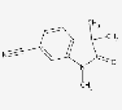 CN1C(=O)C(C)(C)c2ccc(C#N)cc21